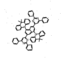 CC1(C)c2ccccc2N(c2cc(-c3cc(-c4ccccc4)nc(-c4ccccc4)n3)cc3c(N4c5ccccc5C(C)(C)c5ccccc54)cc(-c4cc(-c5ccccc5)nc(-c5ccccc5)n4)cc23)c2ccccc21